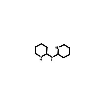 C1CCC(NC2CCCCN2)NC1